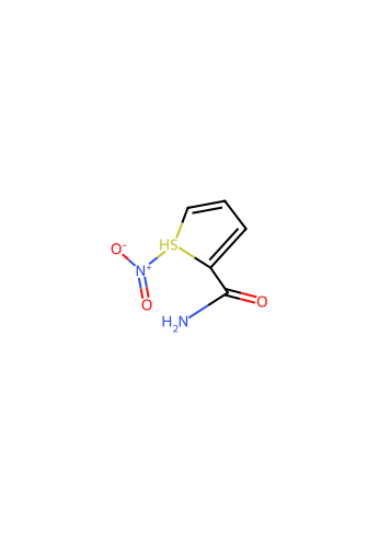 NC(=O)C1=CC=C[SH]1[N+](=O)[O-]